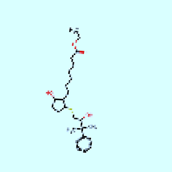 CCOC(=O)CCCCCCC1C(O)CCC1SCC(O)C(C)(C)c1ccccc1